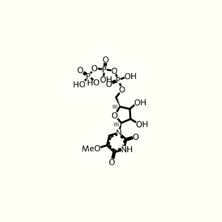 COc1cn([C@H]2O[C@@H](COP(=O)(O)OP(=O)(O)OP(=O)(O)O)C(O)C2O)c(=O)[nH]c1=O